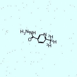 [2H]C([2H])([2H])c1ccc(C(=O)NN)cn1